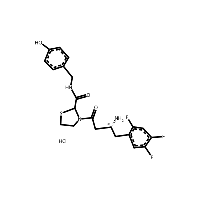 Cl.N[C@@H](CC(=O)N1CCSC1C(=O)NCc1ccc(O)cc1)Cc1cc(F)c(F)cc1F